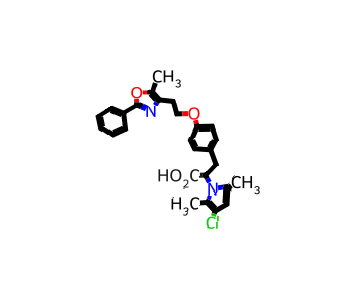 Cc1oc(-c2ccccc2)nc1CCOc1ccc(CC(C(=O)O)n2c(C)cc(Cl)c2C)cc1